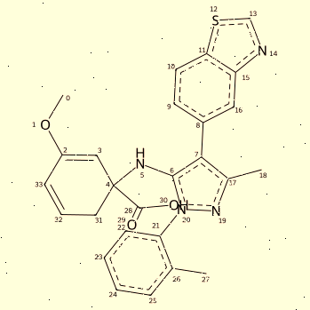 COC1=CC(Nc2c(-c3ccc4scnc4c3)c(C)nn2-c2ccccc2C)(C(=O)O)CC=C1